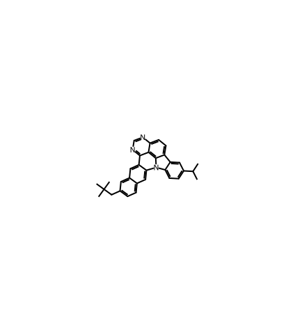 CC(C)c1ccc2c(c1)c1ccc3ncnc4c5cc6cc(CC(C)(C)C)ccc6cc5n2c1c34